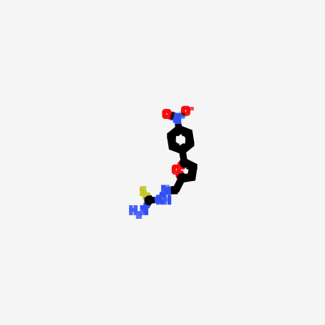 NC(=S)NN=Cc1ccc(-c2ccc([N+](=O)[O-])cc2)o1